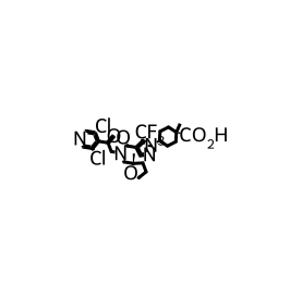 C[C@@]1(CN(CC(=O)c2c(Cl)cncc2Cl)C(=O)c2cnn([C@H]3CC[C@](C)(C(=O)O)CC3)c2C(F)(F)F)CCCO1